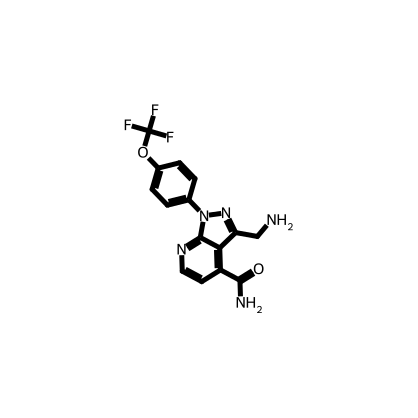 NCc1nn(-c2ccc(OC(F)(F)F)cc2)c2nccc(C(N)=O)c12